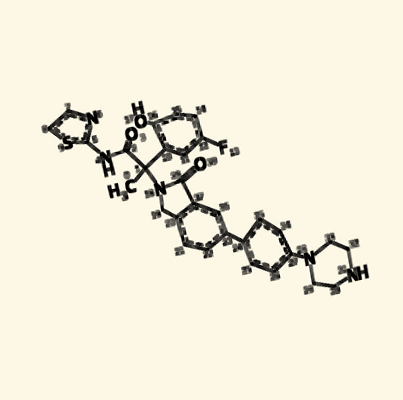 CC(C(=O)Nc1nccs1)(c1cc(F)ccc1O)N1Cc2ccc(-c3ccc(N4CCNCC4)cc3)cc2C1=O